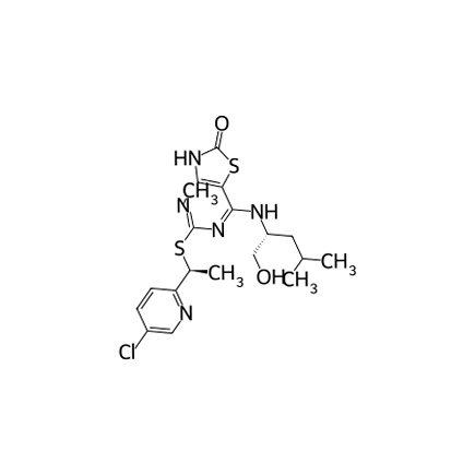 C/N=C(\N=C(\N[C@@H](CO)CC(C)C)c1c[nH]c(=O)s1)S[C@@H](C)c1ccc(Cl)cn1